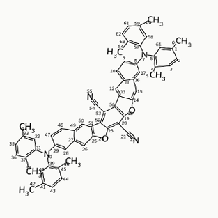 Cc1ccc(C)c(N(c2ccc3cc4c(cc3c2)oc2c(C#N)c3oc5cc6cc(N(c7cc(C)ccc7C)c7cc(C)ccc7C)ccc6cc5c3c(C#N)c24)c2cc(C)ccc2C)c1